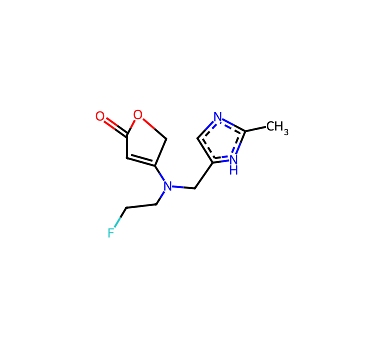 Cc1ncc(CN(CCF)C2=CC(=O)OC2)[nH]1